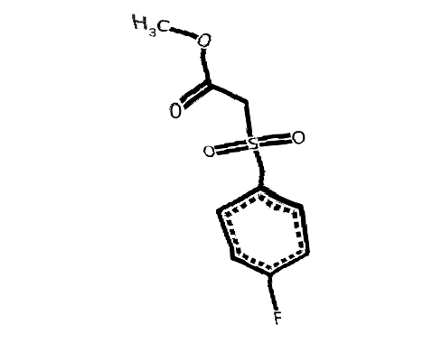 COC(=O)CS(=O)(=O)c1ccc(F)cc1